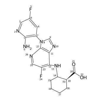 Nc1ncc(F)cc1-n1cnc2c(NC3CCCC[C@@H]3C(=O)O)c(F)cnc21